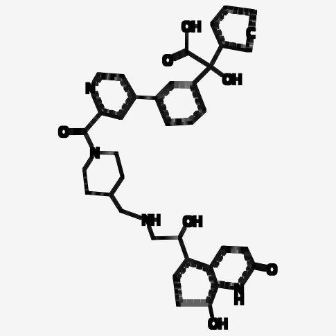 O=C(c1cc(-c2cccc(C(O)(C(=O)O)c3ccccc3)c2)ccn1)N1CCC(CNCC(O)c2ccc(O)c3[nH]c(=O)ccc23)CC1